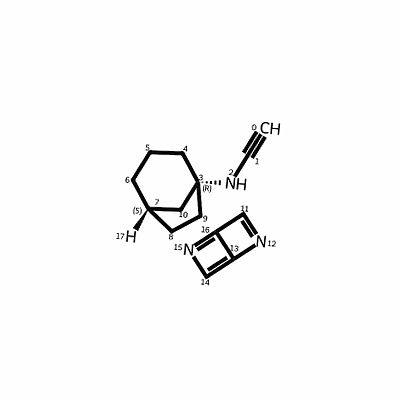 C#CN[C@]12CCC[C@@H](CC1)C2.c1nc2cnc1-2